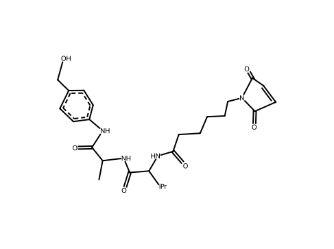 CC(NC(=O)C(NC(=O)CCCCCN1C(=O)C=CC1=O)C(C)C)C(=O)Nc1ccc(CO)cc1